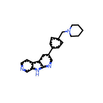 c1cc2c(cn1)[nH]c1ncc(-c3ccc(CN4CCCCC4)cc3)cc12